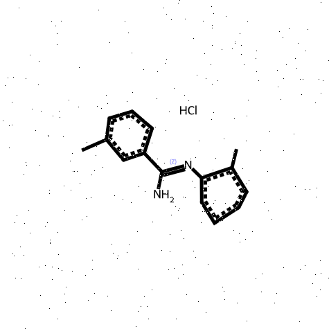 Cc1cccc(/C(N)=N/c2ccccc2C)c1.Cl